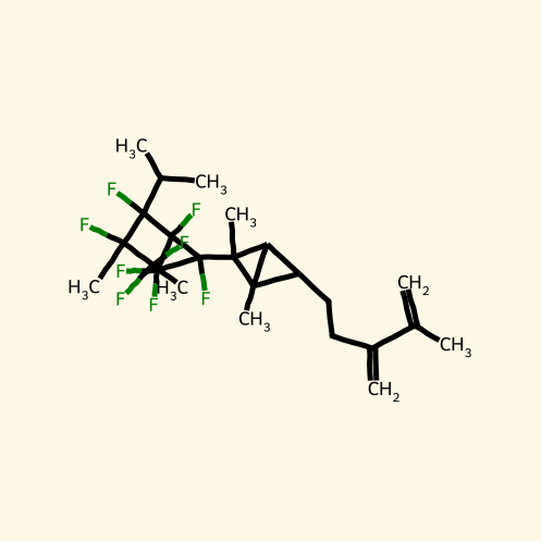 C=C(C)C(=C)CCC1C2C1(C)C2(C)C1(F)C(F)(F)C1(F)C(F)(C(C)C)C(C)(F)C(C)(F)F